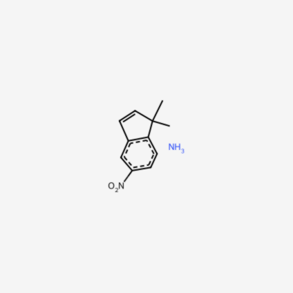 CC1(C)C=Cc2cc([N+](=O)[O-])ccc21.N